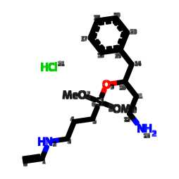 C=CNCCC[Si](OC)(OC)OC(CCN)Cc1ccccc1.Cl